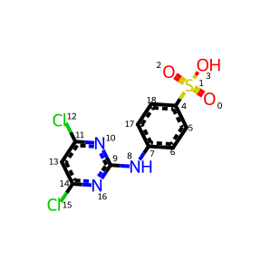 O=S(=O)(O)c1ccc(Nc2nc(Cl)cc(Cl)n2)cc1